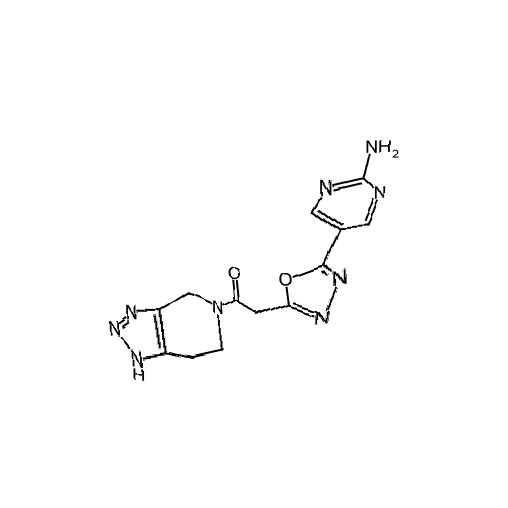 Nc1ncc(-c2nnc(CC(=O)N3CCc4[nH]nnc4C3)o2)cn1